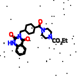 CCOC(=O)N1CCN(C(=O)C2CCC(Cn3c(=O)[nH]c4ccccc4c3=O)CC2)CC1